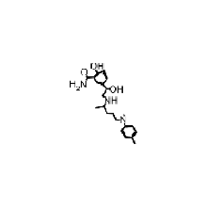 Cc1ccc(N(C)CCCC(C)NCC(O)c2ccc(O)c(C(N)=O)c2)cc1